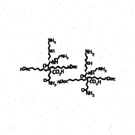 CCCCCCCCCCCCCCCC[N+](CCCCCCCCCCCCCCCC)(C(=O)[C@H](CCCNCCCN)NCCCN)[C@@H](CCC(N)=O)C(=O)O.CCCCCCCCCCCCCCCC[N+](CCCCCCCCCCCCCCCC)(C(=O)[C@H](CCCNCCCN)NCCCN)[C@@H](CCC(N)=O)C(=O)O